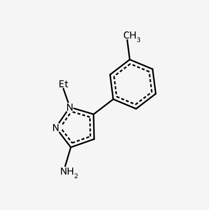 CCn1nc(N)cc1-c1cccc(C)c1